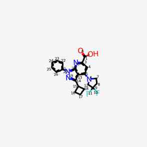 O=C(O)c1cc(N2CCC(F)(F)C2)c2c(C3CCC3)nn(-c3ccccc3)c2n1